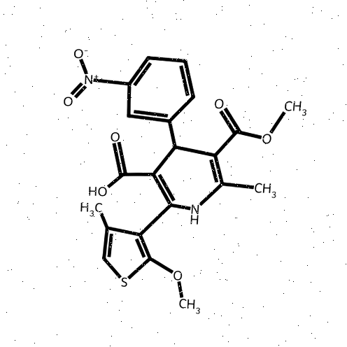 COC(=O)C1=C(C)NC(c2c(C)csc2OC)=C(C(=O)O)C1c1cccc([N+](=O)[O-])c1